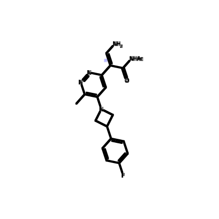 CC(=O)NC(=O)/C(=C\N)c1cc(N2CC(c3ccc(F)cc3)C2)c(C)nn1